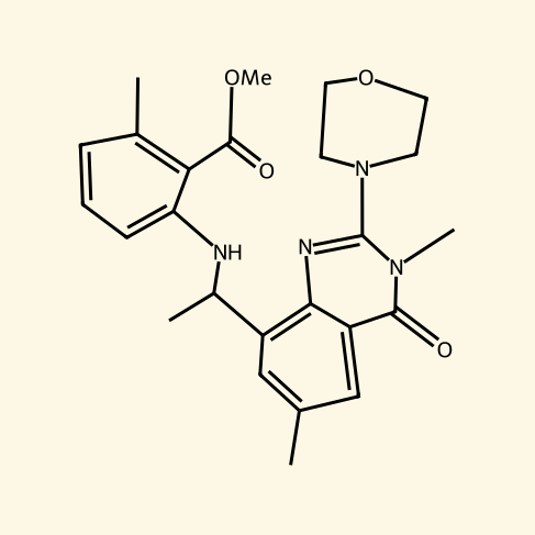 COC(=O)c1c(C)cccc1NC(C)c1cc(C)cc2c(=O)n(C)c(N3CCOCC3)nc12